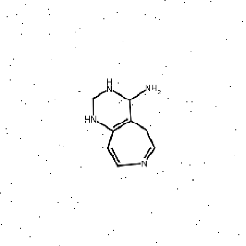 NC1NCNC2=C1CC=NC=C2